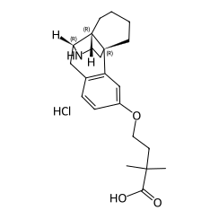 CC(C)(CCOc1ccc2c(c1)[C@@]13CCCC[C@H]1[C@@H](C2)NCC3)C(=O)O.Cl